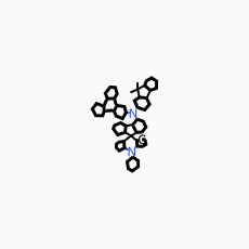 CC1(C)c2ccccc2-c2ccc(N(c3ccc4c5ccccc5c5ccccc5c4c3)c3cccc4c3-c3ccccc3C43c4ccccc4N(c4ccccc4)c4ccccc43)cc21